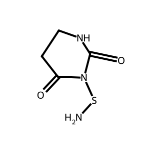 NSN1C(=O)CCNC1=O